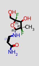 C[C@@]1(F)C(O)[C@@](F)(CO)O[C@H]1N/C=C\C(N)=O